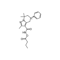 CCCC(=O)ONC(=O)c1c(C)nn2c1C[C@H](c1ccccc1)CC2(C)C